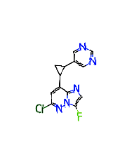 Fc1cnc2c([C@H]3CC3c3cncnc3)cc(Cl)nn12